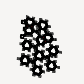 Clc1cc(N(c2cccc(N(c3ccccc3)c3cc(N(c4ccccc4)c4ccccc4)cc(N(c4ccccc4)c4ccccc4)c3)c2)c2c(-c3ccccc3)cccc2-c2ccccc2)cc(Cl)n1